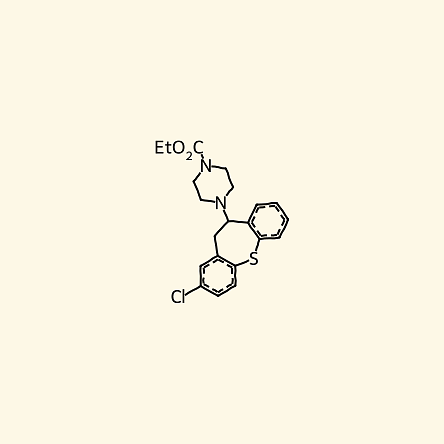 CCOC(=O)N1CCN(C2Cc3cc(Cl)ccc3Sc3ccccc32)CC1